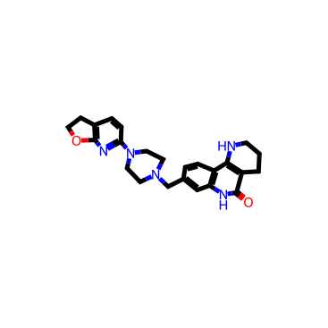 O=c1[nH]c2cc(CN3CCN(c4ccc5c(n4)OCC5)CC3)ccc2c2c1CCCN2